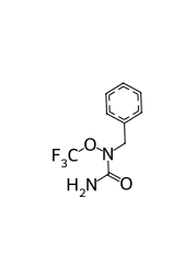 NC(=O)N(Cc1ccccc1)OC(F)(F)F